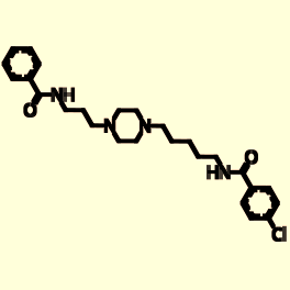 O=C(NCCCCCN1CCN(CCCNC(=O)c2ccccc2)CC1)c1ccc(Cl)cc1